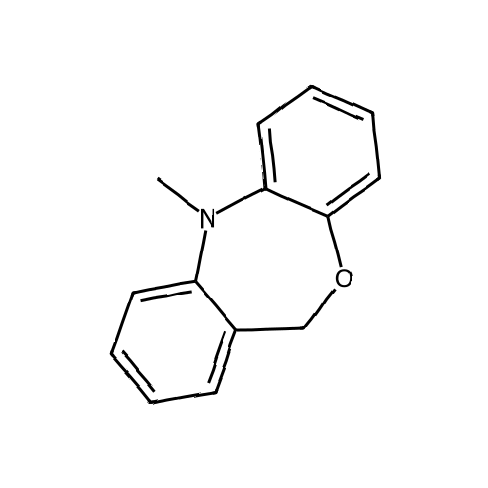 CN1c2ccccc2COc2ccccc21